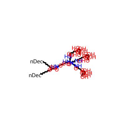 CCCCCCCCCCCCCCCCCCOCC(COC(=O)NCCOCCOCCC(=O)N[C@@H](CCCNOC(=O)CCCCOC1OC(CO)C(O)C(O)C1O)C(=O)N(CCCNCC(=O)CCCCOC1OC(CO)C(O)C(O)C1O)CCCNC(=O)CCCCOC1OC(CO)C(O)C(O)C1O)OCCCCCCCCCCCCCCCCCC